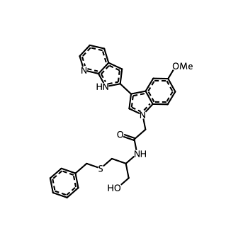 COc1ccc2c(c1)c(-c1cc3cccnc3[nH]1)cn2CC(=O)NC(CO)CSCc1ccccc1